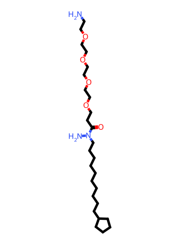 NCCOCCOCCOCCOCCC(=O)N(N)CCCCCCCCCCC1CCCC1